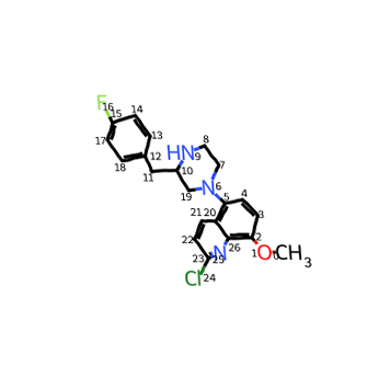 COc1ccc(N2CCNC(Cc3ccc(F)cc3)C2)c2ccc(Cl)nc12